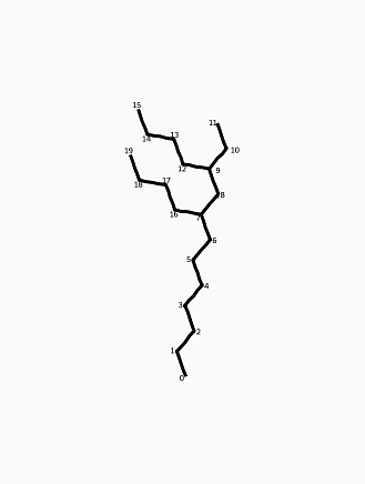 CCCCCCCC([CH]C(CC)CCCC)CCCC